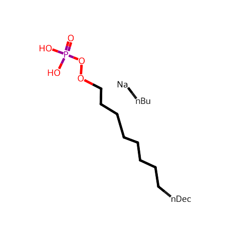 CCCCCCCCCCCCCCCCCCOOP(=O)(O)O.CCC[CH2][Na]